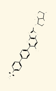 NS(=O)(=O)c1ccc(-c2ccc(-c3nc4nc(O[C@@H]5COC6[C@H](O)CO[C@@H]65)[nH]c4cc3Cl)cc2)cc1